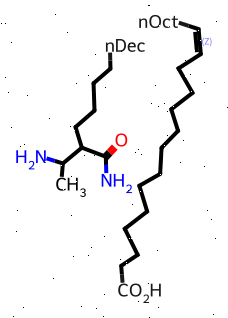 CCCCCCCC/C=C\CCCCCCCCCCCC(=O)O.CCCCCCCCCCCCCCC(C(N)=O)C(C)N